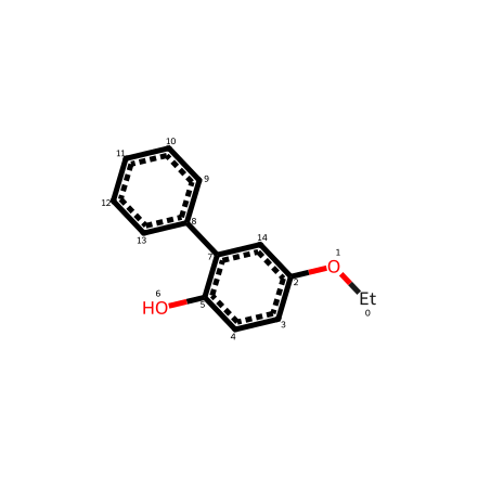 CCOc1ccc(O)c(-c2ccccc2)c1